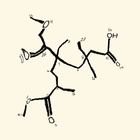 COC(=O)C(C)CC(C)(CC(C)(C)C(=O)O)C(=O)OC